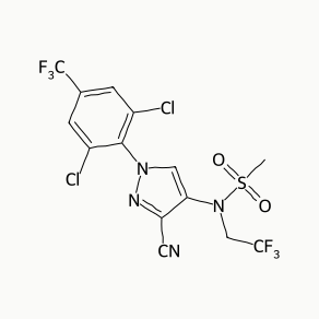 CS(=O)(=O)N(CC(F)(F)F)c1cn(-c2c(Cl)cc(C(F)(F)F)cc2Cl)nc1C#N